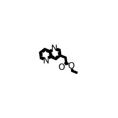 CCOC(=O)Cc1cnc2cccnc2c1